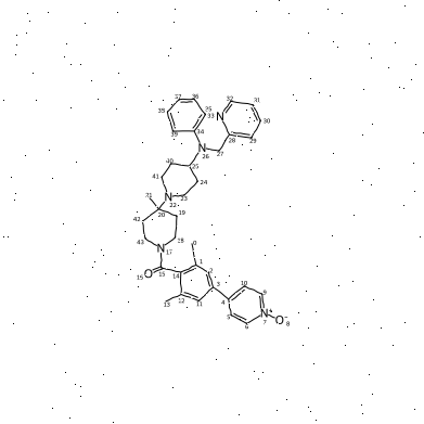 Cc1cc(-c2cc[n+]([O-])cc2)cc(C)c1C(=O)N1CCC(C)(N2CCC(N(Cc3ccccn3)c3ccccc3)CC2)CC1